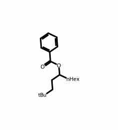 CCCCCCC(CCC(C)(C)C)OC(=O)c1ccccc1